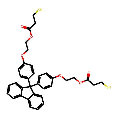 O=C(CCS)OCCOc1ccc(C2(c3ccc(OCCOC(=O)CCS)cc3)c3ccccc3-c3ccccc32)cc1